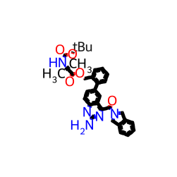 CC(C)(C)OC(=O)NC(C)(C)C(=O)OCc1ccccc1-c1ccc2nc(N)nc(C(=O)N3Cc4ccccc4C3)c2c1